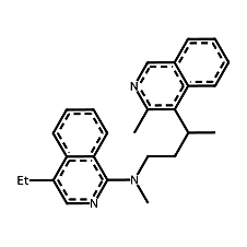 CCc1cnc(N(C)CCC(C)c2c(C)ncc3ccccc23)c2ccccc12